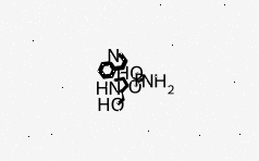 NP(O)OC1CCN[C@@H]1CO.c1ccc2ncccc2c1